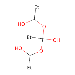 CCC(O)OC(O)(CC)OC(O)CC